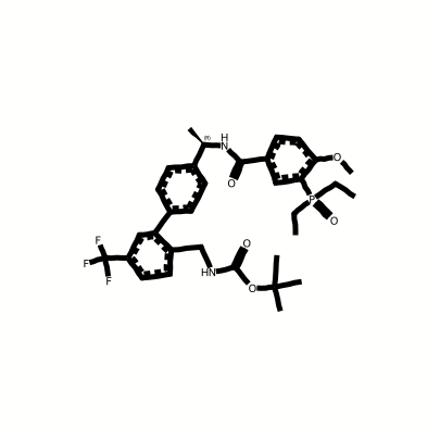 CCP(=O)(CC)c1cc(C(=O)N[C@H](C)c2ccc(-c3cc(C(F)(F)F)ccc3CNC(=O)OC(C)(C)C)cc2)ccc1OC